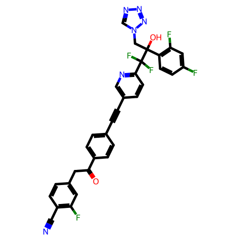 N#Cc1ccc(CC(=O)c2ccc(C#Cc3ccc(C(F)(F)C(O)(Cn4cnnn4)c4ccc(F)cc4F)nc3)cc2)cc1F